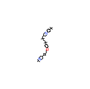 CC(C)(CCC(C)(C)c1ccc(OCCC2CC(C3CCN(C(C)(C)C)CC3)C2)cc1)CC1CCN(c2ccc(C(C)(C)C)cc2)CC1